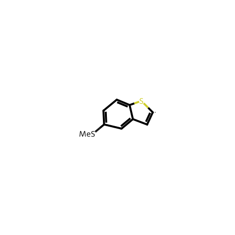 CSc1ccc2s[c]cc2c1